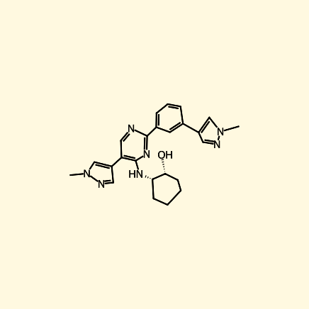 Cn1cc(-c2cccc(-c3ncc(-c4cnn(C)c4)c(N[C@H]4CCCC[C@H]4O)n3)c2)cn1